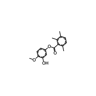 COc1ccc(OC(=O)c2c(C)ccc(C)c2C)cc1O